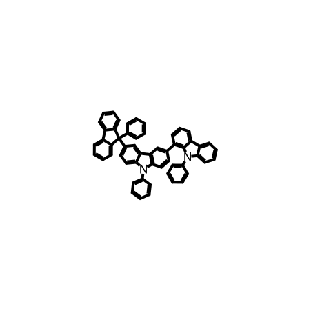 c1ccc(-n2c3ccc(-c4cccc5c6ccccc6n(-c6ccccc6)c45)cc3c3cc(C4(c5ccccc5)c5ccccc5-c5ccccc54)ccc32)cc1